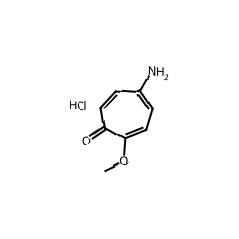 COc1ccc(N)ccc1=O.Cl